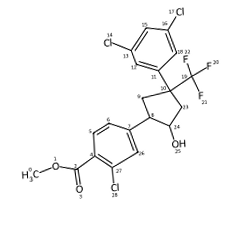 COC(=O)c1ccc(C2CC(c3cc(Cl)cc(Cl)c3)(C(F)(F)F)CC2O)cc1Cl